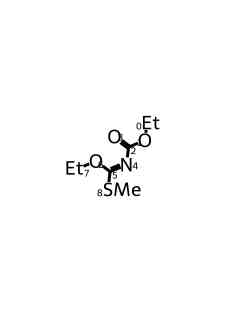 CCOC(=O)N=C(OCC)SC